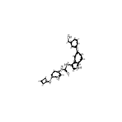 O=C(Nc1ccc(OC2CCC2)nc1)Nc1c[nH]c2ccc(-c3cccc(CO)c3)cc12